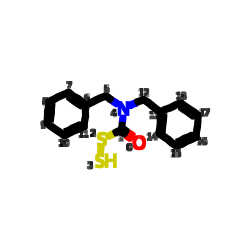 O=C(SS)N(Cc1ccccc1)Cc1ccccc1